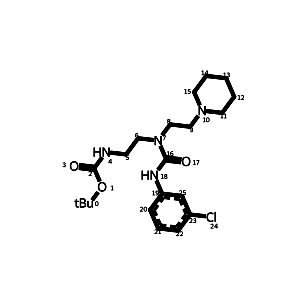 CC(C)(C)OC(=O)NCCN(CCN1CCCCC1)C(=O)Nc1cccc(Cl)c1